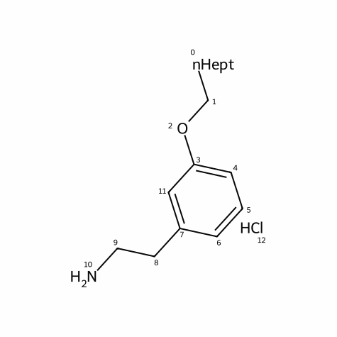 CCCCCCCCOc1cccc(CCN)c1.Cl